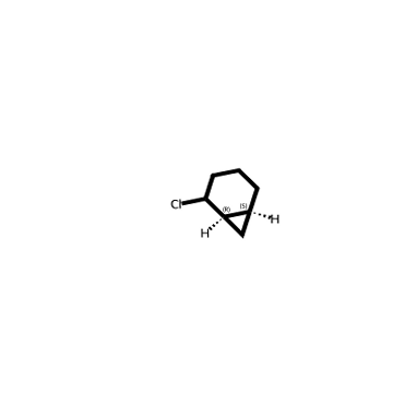 ClC1CCC[C@H]2C[C@@H]12